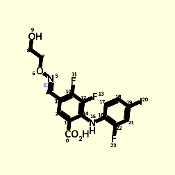 O=C(O)c1cc(/C=N/OCCO)c(F)c(F)c1Nc1ccc(I)cc1F